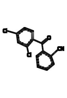 N#Cc1ccccc1C(=O)c1ccc(Cl)cc1Cl